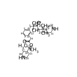 CC(C)(Cc1cccc(CC(=O)OC(C)(C)C2CCNCC2)c1)C(=O)CC(C)(C)C1CCNCC1